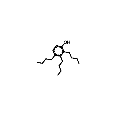 CCCCc1ccc(O)c(CCCC)c1CCCC